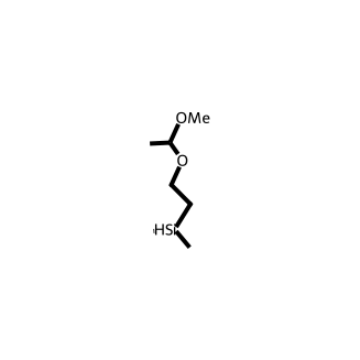 COC(C)OCC[SiH](C)C